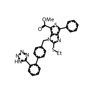 CCSc1nc2c(-c3ccccc3)sc(C(=O)OC)c2n1Cc1ccc(-c2ccccc2-c2nnn[nH]2)cc1